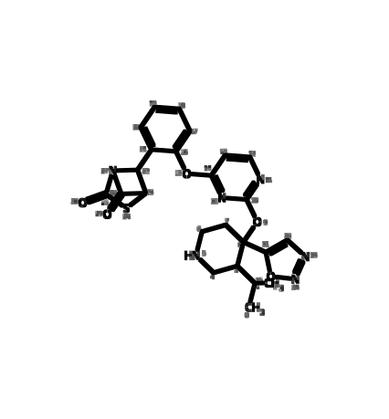 CC(C)C1CNCCC1(Oc1nccc(Oc2ccccc2C2C3SC(=O)N2C3=O)n1)c1cnno1